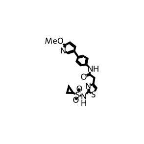 COc1ccc(-c2ccc(NC(=O)Cc3csc(NS(=O)(=O)C4CC4)n3)cc2)cn1